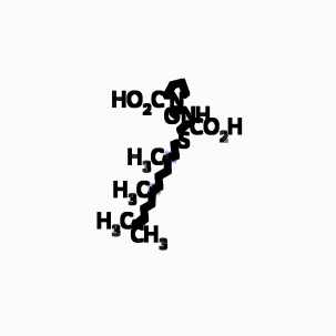 CC(C)=CCC/C(C)=C/CC/C(C)=C/CSCC(NC(=O)N1CCCC1C(=O)O)C(=O)O